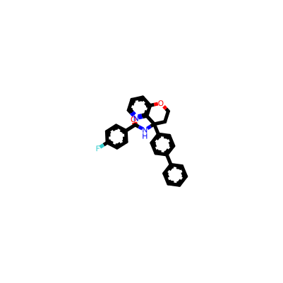 O=C(NC1(c2ccc(-c3ccccc3)cc2)CCOc2cccnc21)c1ccc(F)cc1